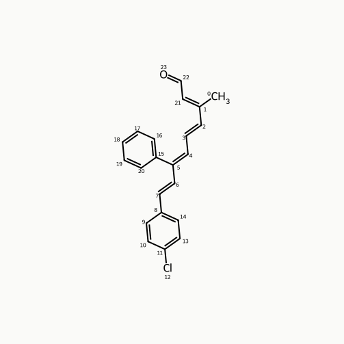 CC(C=CC=C(C=Cc1ccc(Cl)cc1)c1ccccc1)=CC=O